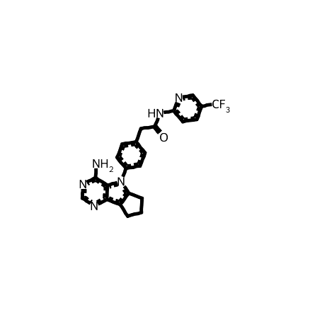 Nc1ncnc2c3c(n(-c4ccc(CC(=O)Nc5ccc(C(F)(F)F)cn5)cc4)c12)CCC3